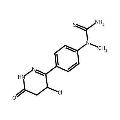 CN(C(N)=S)c1ccc(C2=NNC(=O)CC2Cl)cc1